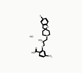 Cc1ccc(C(=O)O)c(OC[C@H](O)CN2CCC3(CC2)Cc2cc(F)ccc2O3)c1.Cl